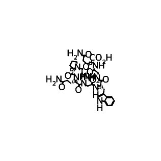 NCC(=O)N1CCC[C@H]1C(=O)N[C@@H](CCC(N)=O)C(=O)NCC(=O)N[C@@H](Cc1c[nH]c2ccccc12)C(=O)NCC(=O)N[C@@H](CCC(N)=O)C(=O)O